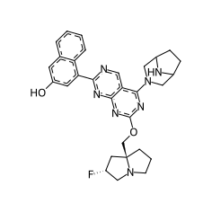 Oc1cc(-c2ncc3c(N4CC5CCC(C4)N5)nc(OC[C@@]45CCCN4C[C@H](F)C5)nc3n2)c2ccccc2c1